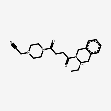 CC[C@@H]1Cc2ccccc2CN1C(=O)CCC(=O)N1CCN(CC#N)CC1